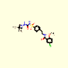 COc1ccc(Cl)cc1C(=O)NCCc1ccc(S(=O)(=O)NC(=O)NN2CC(C)(C)C2)cc1